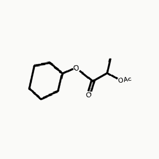 CC(=O)OC(C)C(=O)OC1CCCCC1